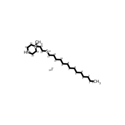 CCCCCCCCCCCCCCSCC[N+]1(C)CCNCC1.[I-]